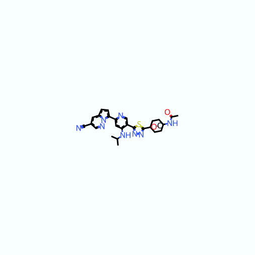 CC(=O)NC12CCC(c3nnc(-c4cnc(-c5ccc6cc(C#N)cnn56)cc4NC(C)C)s3)(CC1)OC2